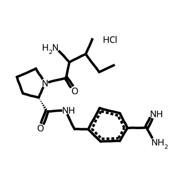 CCC(C)C(N)C(=O)N1CCC[C@H]1C(=O)NCc1ccc(C(=N)N)cc1.Cl